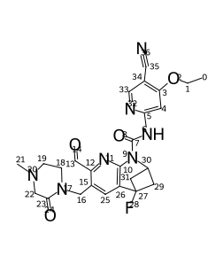 CCOc1cc(NC(=O)N2c3nc(C=O)c(CN4CCN(C)CC4=O)cc3C3(F)CC2C3)ncc1C#N